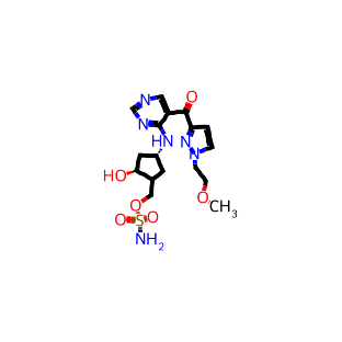 COCCn1ccc(C(=O)c2cncnc2N[C@@H]2CC(COS(N)(=O)=O)[C@@H](O)C2)n1